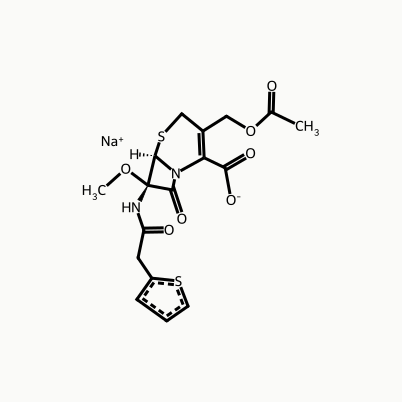 CO[C@@]1(NC(=O)Cc2cccs2)C(=O)N2C(C(=O)[O-])=C(COC(C)=O)CS[C@@H]21.[Na+]